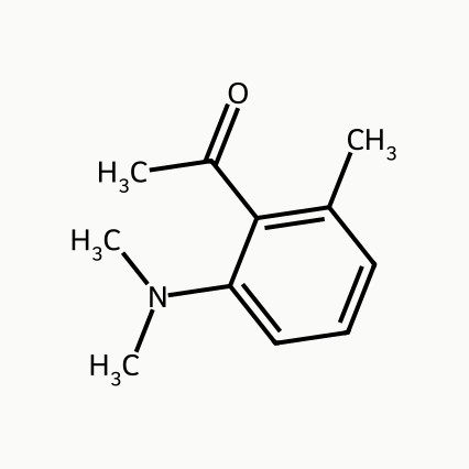 CC(=O)c1c(C)cccc1N(C)C